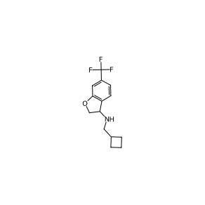 FC(F)(F)c1ccc2c(c1)OCC2NCC1CCC1